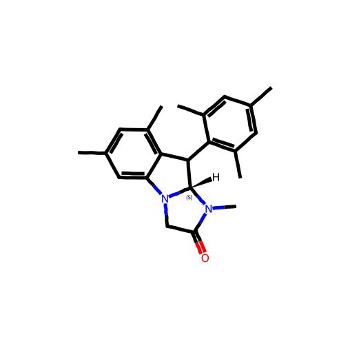 Cc1cc(C)c(C2c3c(C)cc(C)cc3N3CC(=O)N(C)[C@@H]23)c(C)c1